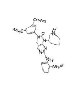 COc1cc(OC)cc(N2Cc3cnc(Nc4ccccc4NC(C)=O)nc3N(C3CCCNC3)C2=O)c1